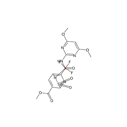 COC(=O)c1cc2c(C(F)(F)F)nc1S(=O)(=O)N2C(=O)Nc1nc(OC)cc(OC)n1